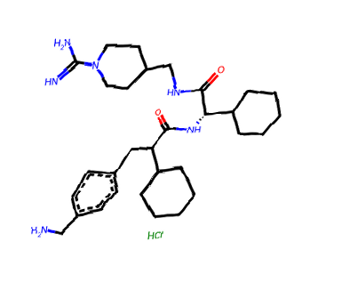 Cl.N=C(N)N1CCC(CNC(=O)[C@@H](NC(=O)C(Cc2ccc(CN)cc2)C2CCCCC2)C2CCCCC2)CC1